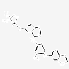 Cc1cc(Nc2ncnc3ccc(NC4=NC(C)(C)CO4)cc23)ccc1Oc1ccc2ncsc2c1